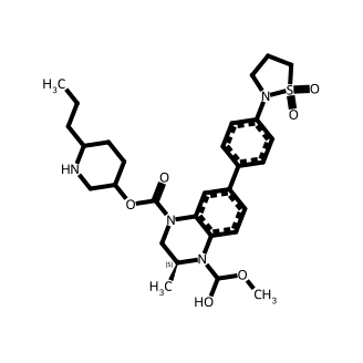 CCCC1CCC(OC(=O)N2C[C@H](C)N(C(O)OC)c3ccc(-c4ccc(N5CCCS5(=O)=O)cc4)cc32)CN1